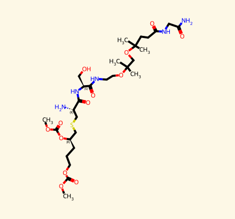 COC(=O)OCCC[C@H](CSC[C@H](N)C(=O)N[C@@H](CO)C(=O)NCCOC(C)(C)COC(C)(C)CCC(=O)NCC(N)=O)OC(=O)OC